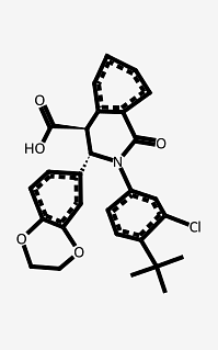 CC(C)(C)c1ccc(N2C(=O)c3ccccc3[C@H](C(=O)O)[C@H]2c2ccc3c(c2)OCCO3)cc1Cl